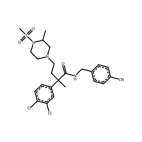 CC1CN(CCC(C)(C(=O)NCc2ccc(C#N)cc2)c2ccc(Cl)c(Cl)c2)CCN1S(C)(=O)=O